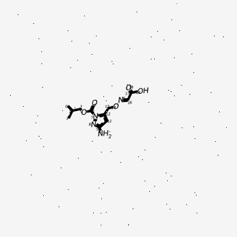 CC(C)COC(=O)n1nc(N)cc1CON=CC(=O)O